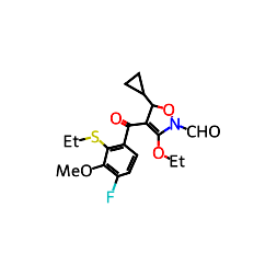 CCOC1=C(C(=O)c2ccc(F)c(OC)c2SCC)C(C2CC2)ON1C=O